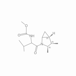 COC(=O)NC(C(=O)N1C2C[C@@H]2[C@@H](C)[C@H]1C)C(C)C